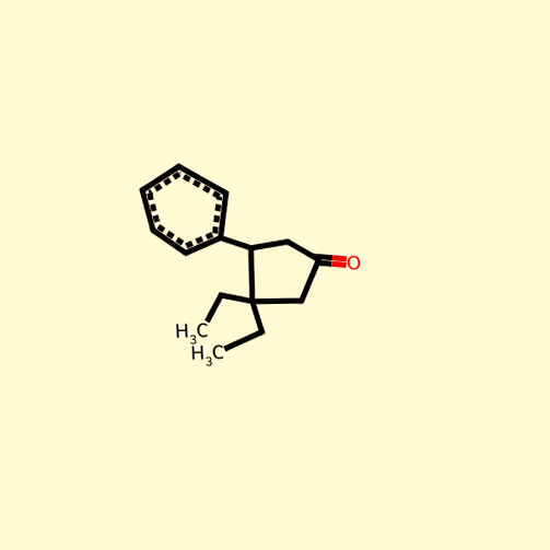 CCC1(CC)CC(=O)CC1c1ccccc1